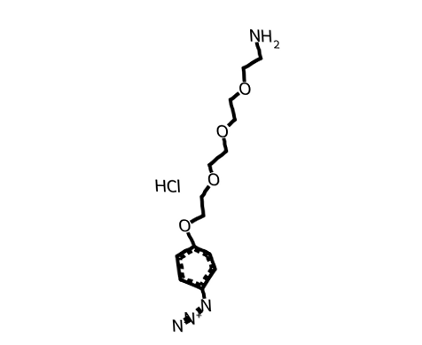 Cl.[N-]=[N+]=Nc1ccc(OCCOCCOCCOCCN)cc1